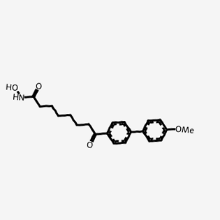 COc1ccc(-c2ccc(C(=O)CCCCCCC(=O)NO)cc2)cc1